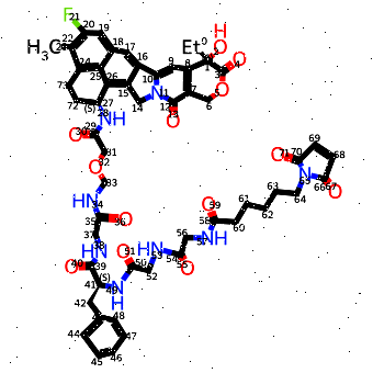 CC[C@@]1(O)C(=O)OCc2c1cc1n(c2=O)Cc2c-1cc1cc(F)c(C)c3c1c2[C@@H](NC(=O)COCNC(=O)CNC(=O)[C@H](Cc1ccccc1)NC(=O)CNC(=O)CNC(=O)CCCCCN1C(=O)C=CC1=O)CC3